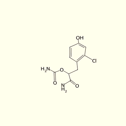 NC(=O)OC(Cc1ccc(O)cc1Cl)C(N)=O